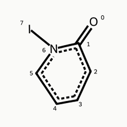 O=c1ccccn1I